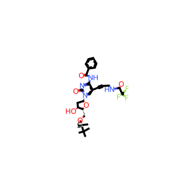 CC(C)(C)[Si](C)(C)OC[C@H]1O[C@@H](n2cc(C#CCNC(=O)C(F)(F)F)c(NC(=O)c3ccccc3)nc2=O)C[C@@H]1O